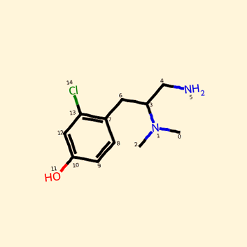 CN(C)C(CN)Cc1ccc(O)cc1Cl